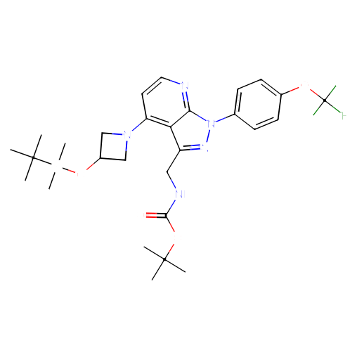 CC(C)(C)OC(=O)NCc1nn(-c2ccc(OC(F)(F)F)cc2)c2nccc(N3CC(O[Si](C)(C)C(C)(C)C)C3)c12